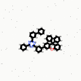 c1ccc(-c2cccc(-c3nc(-c4ccccc4)nc(-c4cccc(-c5ccc6c(c5)Oc5ccccc5C6(c5ccccc5)c5ccccc5)c4)n3)c2)cc1